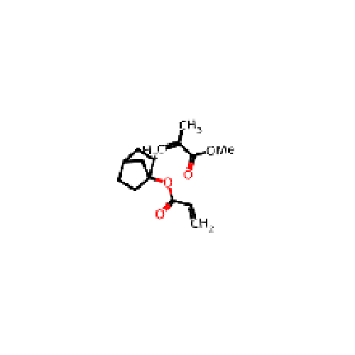 C=C(C)C(=O)OC.C=CC(=O)OC12CCC(CC1)C2